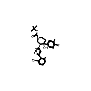 CC(C)(C)OC(=O)N1CC[C@](O)(c2ccc(F)c(F)c2)[C@@H](c2cc(-c3c(Cl)cccc3Cl)on2)C1